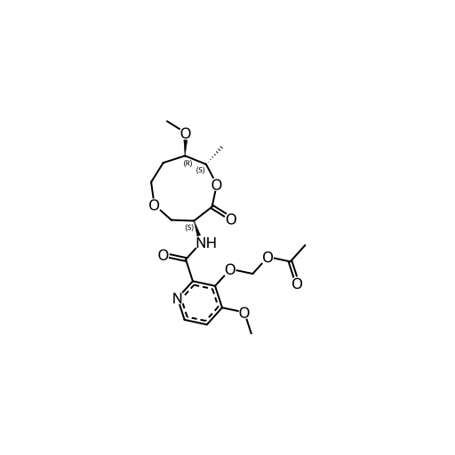 COc1ccnc(C(=O)N[C@H]2COCC[C@@H](OC)[C@H](C)OC2=O)c1OCOC(C)=O